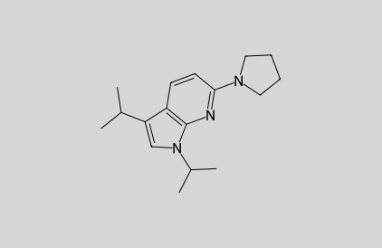 CC(C)c1cn(C(C)C)c2nc(N3CCCC3)ccc12